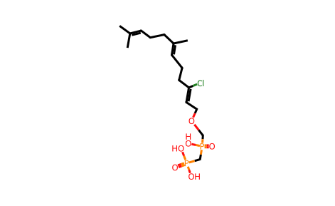 CC(C)=CCCC(C)=CCCC(Cl)=CCOCP(=O)(O)CP(=O)(O)O